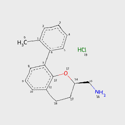 Cc1ccccc1-c1cccc2c1O[C@@H](CN)CC2.Cl